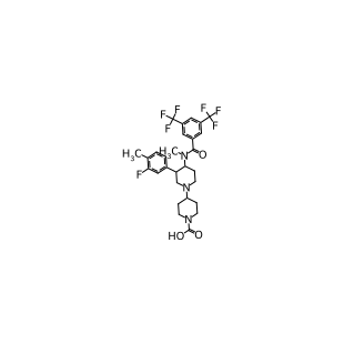 Cc1ccc(C2CN(C3CCN(C(=O)O)CC3)CCC2N(C)C(=O)c2cc(C(F)(F)F)cc(C(F)(F)F)c2)cc1F